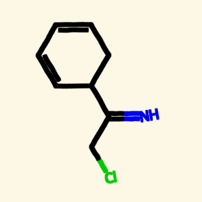 N=C(CCl)C1C=CC=CC1